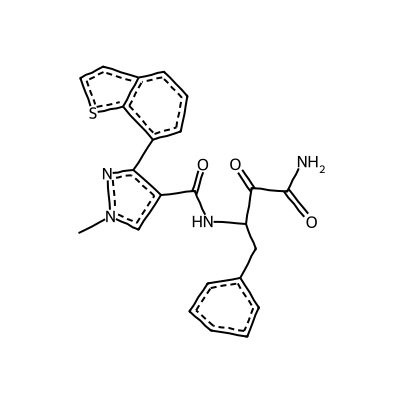 Cn1cc(C(=O)NC(Cc2ccccc2)C(=O)C(N)=O)c(-c2cccc3ccsc23)n1